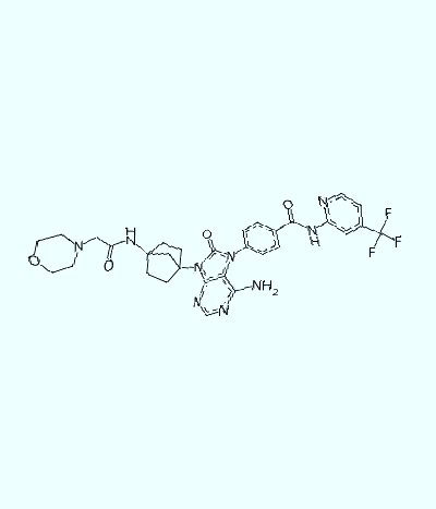 Nc1ncnc2c1n(-c1ccc(C(=O)Nc3cc(C(F)(F)F)ccn3)cc1)c(=O)n2C12CCC(NC(=O)CN3CCOCC3)(CC1)C2